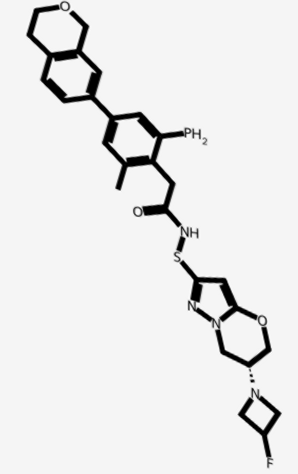 Cc1cc(-c2ccc3c(c2)COCC3)cc(P)c1CC(=O)NSc1cc2n(n1)C[C@@H](N1CC(F)C1)CO2